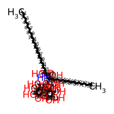 CCCCCCCCCCCCCCCCCCCCCCCCC(O)C(=O)N[C@@H](COP(=O)(O)O[C@H]1C(O)C(O)C(O)[C@@H](O)C1O[C@H]1O[C@H](CO)[C@@H](O)C(O)C1O)[C@H](O)[C@H](O)CCCCCCCCCCCCCC